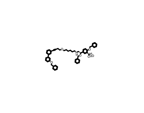 O=CNc1cc([C@H](CNCCCCCCOCCC#Cc2cccc(-c3cccc(OCc4ccccc4)c3)c2)OCc2ccccc2)ccc1OCc1ccccc1